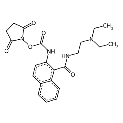 CCN(CC)CCNC(=O)c1c(NC(=O)ON2C(=O)CCC2=O)ccc2ccccc12